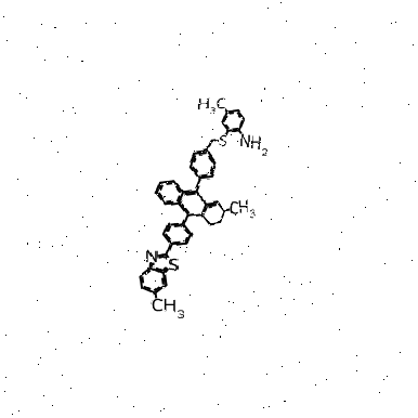 Cc1ccc(N)c(SCc2ccc(C3=c4ccccc4=C(c4ccc(-c5nc6ccc(C)cc6s5)cc4)C4CCC(C)C=C34)cc2)c1